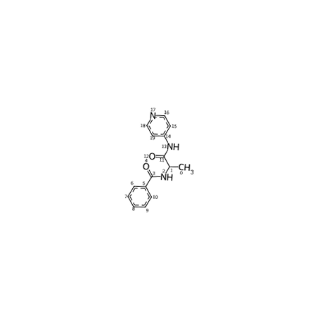 CC(NC(=O)c1ccccc1)C(=O)Nc1ccncc1